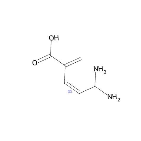 C=C(/C=C\C(N)N)C(=O)O